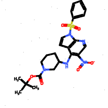 CC(C)(C)OC(=O)N1CCCC(Nc2c([N+](=O)[O-])cnc3c2ccn3S(=O)(=O)c2ccccc2)C1